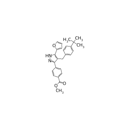 COC(=O)c1ccc(-c2n[nH]c(-c3ccco3)c2Cc2ccc(C(C)(C)C)cc2)cc1